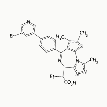 CCC(C(=O)O)[C@@H]1N=C(c2ccc(-c3cncc(Br)c3)cc2)c2c(sc(C)c2C)-n2c(C)nnc21